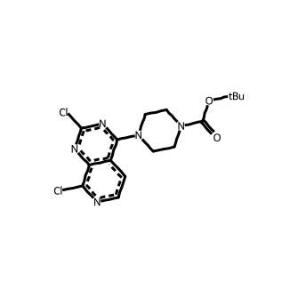 CC(C)(C)OC(=O)N1CCN(c2nc(Cl)nc3c(Cl)nccc23)CC1